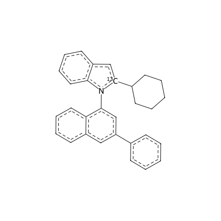 c1ccc(-c2cc(-n3c4ccccc4c[13c]3C3CCCCC3)c3ccccc3c2)cc1